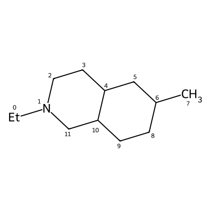 CCN1CCC2CC(C)CCC2C1